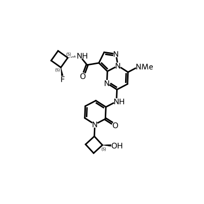 CNc1cc(Nc2cccn(C3CC[C@@H]3O)c2=O)nc2c(C(=O)N[C@H]3CC[C@@H]3F)cnn12